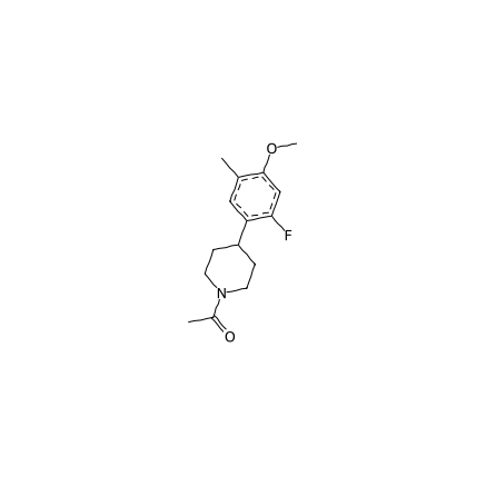 COc1cc(F)c(C2CCN(C(C)=O)CC2)cc1C